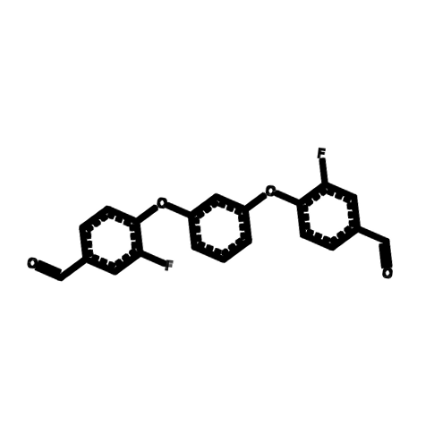 O=Cc1ccc(Oc2cccc(Oc3ccc(C=O)cc3F)c2)c(F)c1